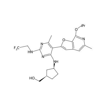 Cc1cc2cc(-c3c(C)nc(NCC(F)(F)F)nc3N[C@H]3CC[C@@H](CO)C3)oc2c(OC(C)C)n1